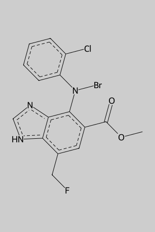 COC(=O)c1cc(CF)c2[nH]cnc2c1N(Br)c1ccccc1Cl